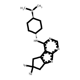 [2H]C1([2H])Cc2sc3ncnc(N[C@H]4CC[C@H](N(C)C)CC4)c3c2C1